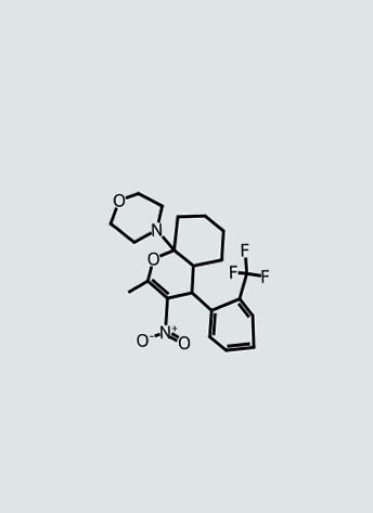 CC1=C([N+](=O)[O-])C(c2ccccc2C(F)(F)F)C2CCCCC2(N2CCOCC2)O1